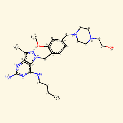 CCCCNc1nc(N)nc2c(C)nn(Cc3ccc(CN4CCN(CCO)CC4)cc3OC)c12